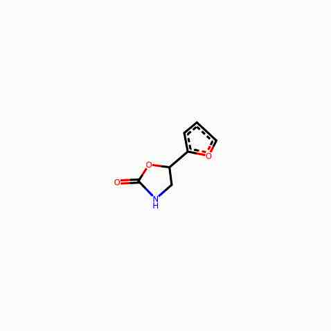 O=C1NCC(c2ccco2)O1